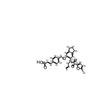 C=CCN(c1cc2c(cc1OCc1ccc(C=CC(=O)O)cc1)CCC2)S(=O)(=O)c1ccc(C)o1